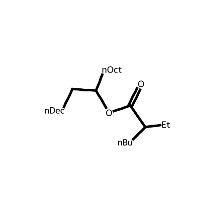 CCCCCCCCCCCC(CCCCCCCC)OC(=O)C(CC)CCCC